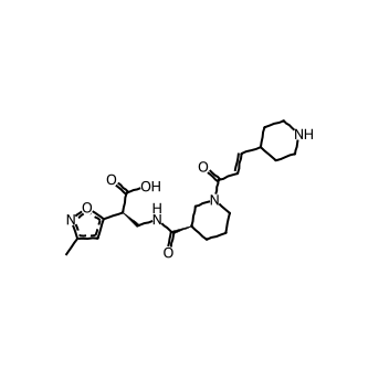 Cc1cc([C@H](CNC(=O)[C@@H]2CCCN(C(=O)/C=C/C3CCNCC3)C2)C(=O)O)on1